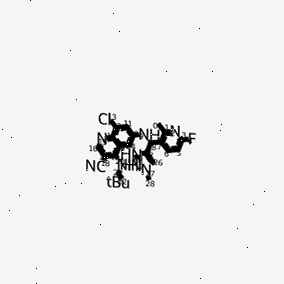 Cc1nc(F)ccc1[C@H](Nc1cc(Cl)c2ncc(C#N)c(NCC(C)(C)C)c2c1)C1=CN(C)NN1